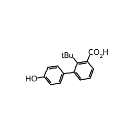 CC(C)(C)c1c(C(=O)O)cccc1-c1ccc(O)cc1